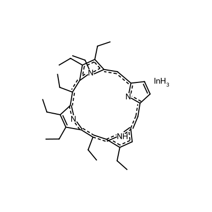 CCC1=C(CC)c2nc1c(CC)c1[nH]c(cc3nc(cc4c(CC)c(CC)c(c2CC)n4CC)C=C3)cc1CC.[InH3]